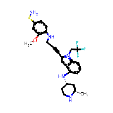 COc1cc(SN)ccc1NCC#Cc1cc2c(N[C@H]3CCN[C@@H](C)C3)cccc2n1CC(F)(F)F